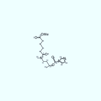 COC(=O)CCCCC(=O)N(C)CCC(C)OC(=O)n1ccnc1